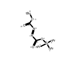 CCC[Si](CCC)(CCC)OC(=O)/N=N/C(=O)OC(C)(C)C